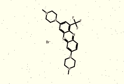 CN1CCN(c2ccc3nc4c(C(F)(F)F)cc(N5CCN(C)CC5)cc4[s+]c3c2)CC1.[Br-]